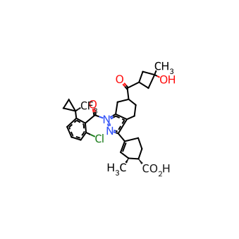 C[C@H]1C=C(c2nn(C(=O)c3c(Cl)cccc3C3(C(F)(F)F)CC3)c3c2CCC(C(=O)C2CC(C)(O)C2)C3)CC[C@H]1C(=O)O